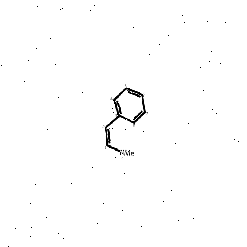 CN/C=C\c1ccccc1